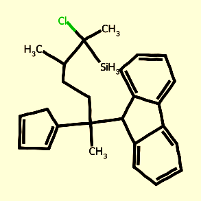 CC(CCC(C)(C1=CC=CC1)C1c2ccccc2-c2ccccc21)C(C)([SiH3])Cl